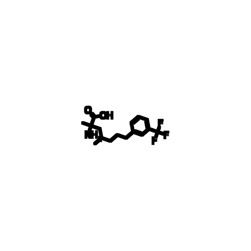 CC(CCCc1cccc(C(F)(F)F)c1)CC(C)(N)C(=O)O